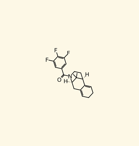 CC1(C)[C@H]2CCN(C(=O)c3cc(F)c(F)c(F)c3)[C@@H]1CC1=CCCC=C12